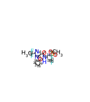 CC(F)(F)c1ncc(C(=O)NC(/C=C/S(C)(=O)=O)CC(F)F)c(Oc2ccccc2)n1